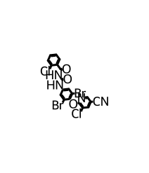 N#Cc1cnc(Oc2c(Br)cc(NC(=O)NC(=O)c3ccccc3Cl)cc2Br)c(Cl)c1